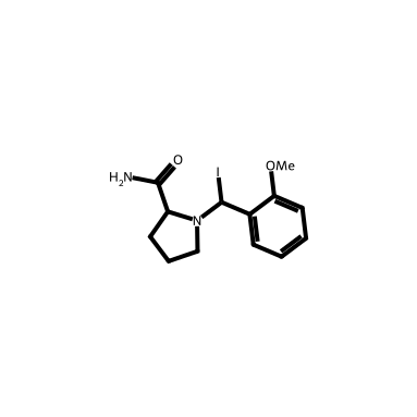 COc1ccccc1C(I)N1CCCC1C(N)=O